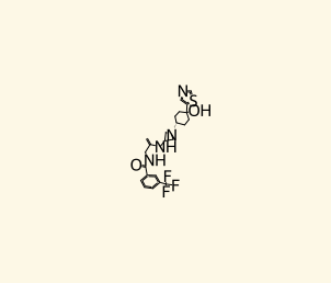 C=C(CNC(=O)c1cccc(C(F)(F)F)c1)NC1CN([C@H]2CC[C@@](O)(c3cncs3)CC2)C1